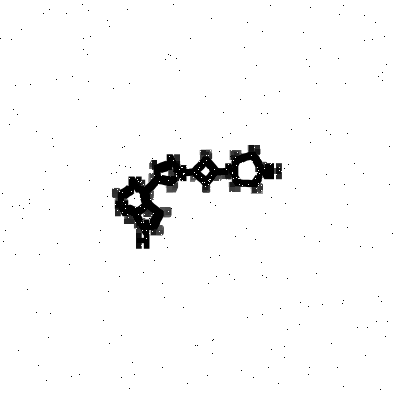 c1nc(-c2cnn(C3CC(N4CCNCC4)C3)c2)c2cc[nH]c2n1